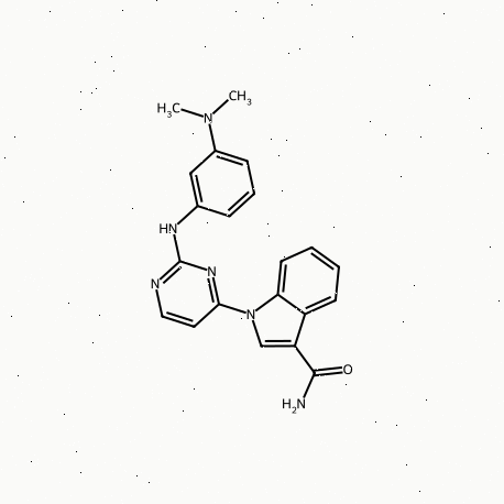 CN(C)c1cccc(Nc2nccc(-n3cc(C(N)=O)c4ccccc43)n2)c1